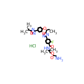 CCC(Oc1ccc(-c2noc(C(C)C)n2)cc1)c1nc(-c2ccc(C(=O)NC(C)(C)COC(=O)CN)c(F)c2)no1.Cl